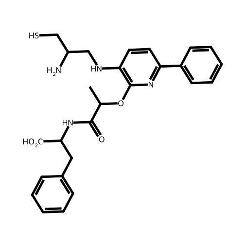 CC(Oc1nc(-c2ccccc2)ccc1NCC(N)CS)C(=O)NC(Cc1ccccc1)C(=O)O